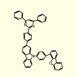 c1ccc(-c2cc(-c3ccccc3)nc(-c3ccc(-c4ccc5c6ccccc6n(-c6ccc(-c7cccc8c7oc7ccccc78)cc6)c5c4)cc3)n2)cc1